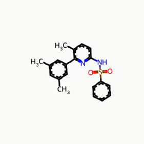 Cc1cc(C)cc(-c2nc(NS(=O)(=O)c3ccccc3)ccc2C)c1